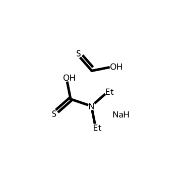 CCN(CC)C(O)=S.OC=S.[NaH]